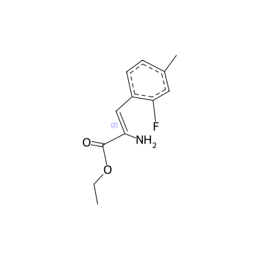 CCOC(=O)/C(N)=C/c1ccc(C)cc1F